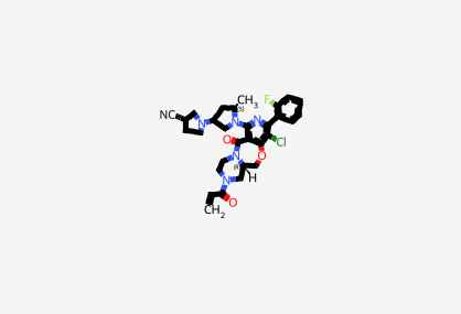 C=CC(=O)N1CCN2C(=O)c3c(N4CC(N5CCC(C#N)C5)C[C@@H]4C)nc(-c4ccccc4F)c(Cl)c3OC[C@H]2C1